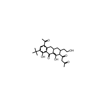 CC(=O)CC(=O)C1C(O)=C2C(=O)c3c(O)c(C(C)(C)C)cc(C(C)=O)c3CC2CC1CCO